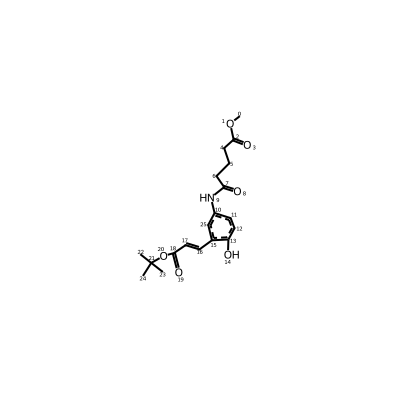 COC(=O)CCCC(=O)Nc1ccc(O)c(C=CC(=O)OC(C)(C)C)c1